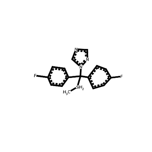 C[SiH2]C(c1ccc(F)cc1)(c1ccc(F)cc1)n1cncn1